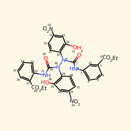 CCOC(=O)c1cccc(NC(=O)N(c2ccc([N+](=O)[O-])cc2O)N(C(=O)Nc2ccccc2C(=O)OCC)c2ccc([N+](=O)[O-])cc2O)c1